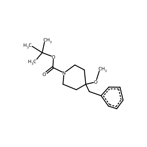 COC1(Cc2ccccc2)CCN(C(=O)OC(C)(C)C)CC1